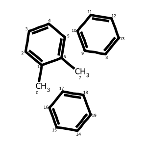 Cc1ccccc1C.c1ccccc1.c1ccccc1